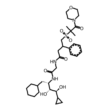 CC(C)(C(=O)N1CCOCC1)S(=O)(=O)CC(CC(=O)NCC(=O)N[C@@H](CC1CCCCC1)[C@@H](O)[C@@H](O)C1CC1)c1ccccc1